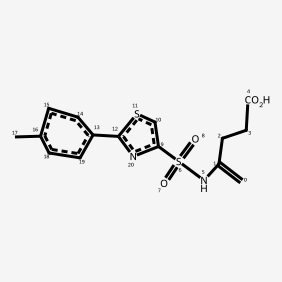 C=C(CCC(=O)O)NS(=O)(=O)c1csc(-c2ccc(C)cc2)n1